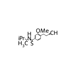 C#CCCc1ccc(C(=S)N[C@@H](C)C(C)C)cc1OC